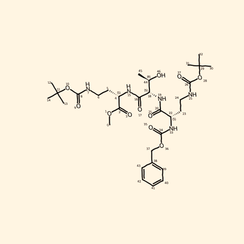 COC(=O)[C@H](CCNC(=O)OC(C)(C)C)NC(=O)[C@@H](NC(=O)[C@H](CCNC(=O)OC(C)(C)C)NC(=O)OCc1ccccc1)[C@@H](C)O